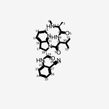 CN[C@@H](C)C(=O)N[C@H](C(=O)N1c2ncccc2C[C@H]1C(=O)Nc1ccccc1C#N)C(C)C